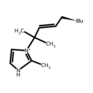 CC[C@H](C)CC=CC(C)(C)[n+]1cc[nH]c1C